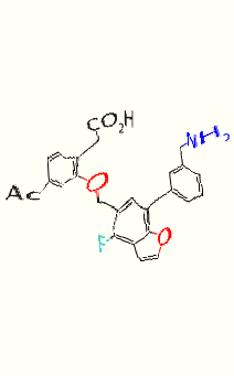 CC(=O)c1ccc(CC(=O)O)c(OCc2cc(-c3cccc(CN)c3)c3occc3c2F)c1